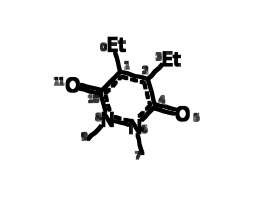 CCc1c(CC)c(=O)n(C)n(C)c1=O